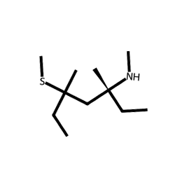 CCC(C)(C[C@@](C)(CC)NC)SC